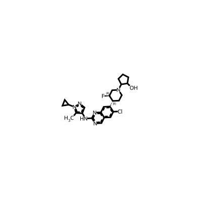 Cc1c(Nc2ncc3cc(Cl)c([C@H]4CCN(C5CCCC5O)C[C@@H]4F)cc3n2)cnn1C1CC1